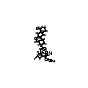 C[C@@H]1CN(C(=O)OC(C)(C)C)[C@@](CC(=O)c2ccc3c(c2)COc2cc4c(cc2-3)CCCC4=O)(C(=O)O)C1